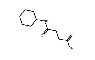 CC(C)C(=O)CCC(=O)NC1CCCCC1